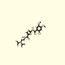 COc1cc(Cl)c(C(=O)Nc2nc(C(=O)NCCN(C(C)C)C(C)C)cs2)cc1OC